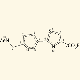 CCOC(=O)c1csc(-c2ccc(CNC)cc2)n1